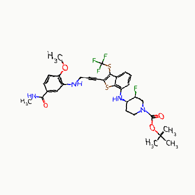 CNC(=O)c1ccc(OC)c(NCC#Cc2sc3c(N[C@@H]4CCN(C(=O)OC(C)(C)C)C[C@@H]4F)cccc3c2SC(F)(F)F)c1